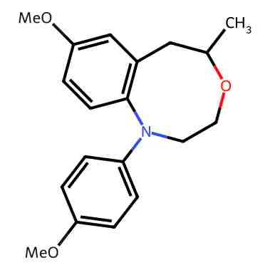 COc1ccc(N2CCOC(C)Cc3cc(OC)ccc32)cc1